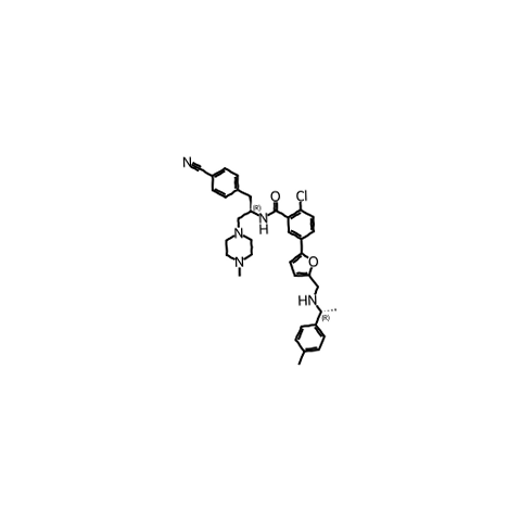 Cc1ccc([C@@H](C)NCc2ccc(-c3ccc(Cl)c(C(=O)N[C@H](Cc4ccc(C#N)cc4)CN4CCN(C)CC4)c3)o2)cc1